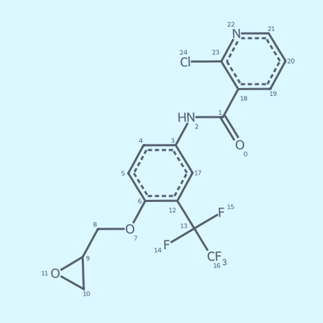 O=C(Nc1ccc(OCC2CO2)c(C(F)(F)C(F)(F)F)c1)c1cccnc1Cl